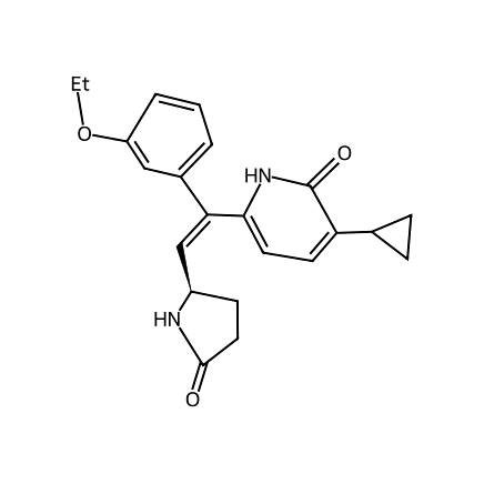 CCOc1cccc(C(=C[C@H]2CCC(=O)N2)c2ccc(C3CC3)c(=O)[nH]2)c1